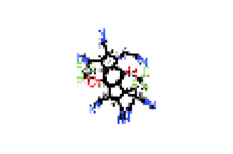 N#C/C=C1/C(C#N)=C(C#N)c2c(OC(F)(F)F)c3c(c(OC(F)(F)F)c21)C1(CC1(C#N)C#N)C(C#N)=C3C#N